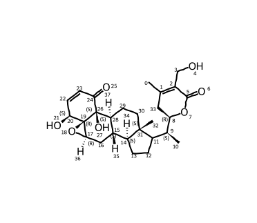 CC1=C(CO)C(=O)O[C@@H]([C@@H](C)C2CC[C@H]3[C@@H]4C[C@H]5O[C@]56[C@@H](O)C=CC(=O)[C@]6(O)[C@H]4CC[C@]23C)C1